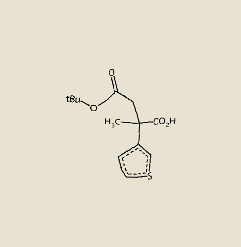 CC(C)(C)OC(=O)CC(C)(C(=O)O)c1ccsc1